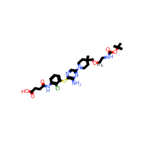 C[C@@H](CNC(=O)OC(C)(C)C)OCC1(C)CCN(c2cnc(Sc3cccc(NC(=O)CCC(=O)O)c3Cl)c(N)n2)CC1